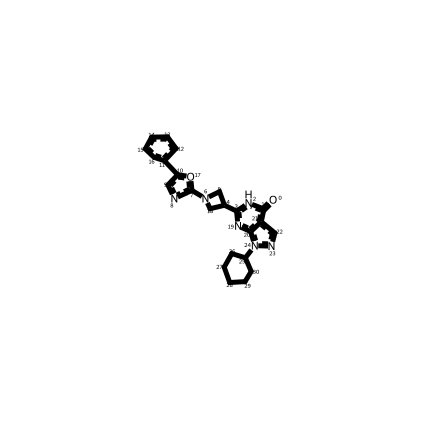 O=c1[nH]c(C2CN(c3ncc(-c4ccccc4)o3)C2)nc2c1cnn2C1CCCCC1